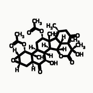 CC(=O)O[C@H]1C[C@H]2[C@H]([C@@H]3[C@H]4OC(=O)[C@@](C)(O)[C@@]5(C)C(=O)C[C@@H](C)[C@@H]([C@@H]45)[C@]31C)[C@@H](O)C(=O)[C@H]1C[C@@H]3O[C@@H]3[C@H](OC(C)=O)[C@@]12C